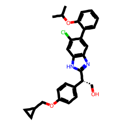 CC(C)Oc1ccccc1-c1cc2nc([C@H](CO)c3ccc(OCC4CC4)cc3)[nH]c2cc1Cl